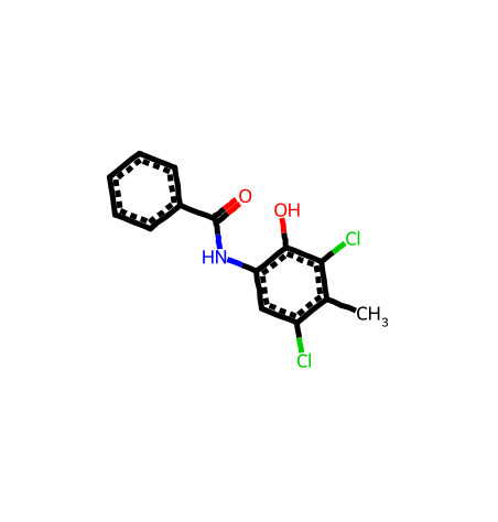 Cc1c(Cl)cc(NC(=O)c2ccccc2)c(O)c1Cl